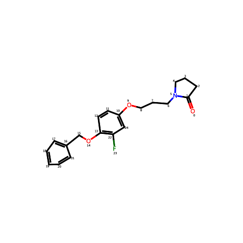 O=C1CCCN1CCCOc1ccc(OCc2ccccc2)c(F)c1